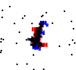 CC(C)C[C@H](NC(=O)[C@H](CC(=O)O)NC(=O)[C@H](C)N)C(=O)N[C@@H](C)C(=O)N[C@@H](CCCCN)C(=O)O